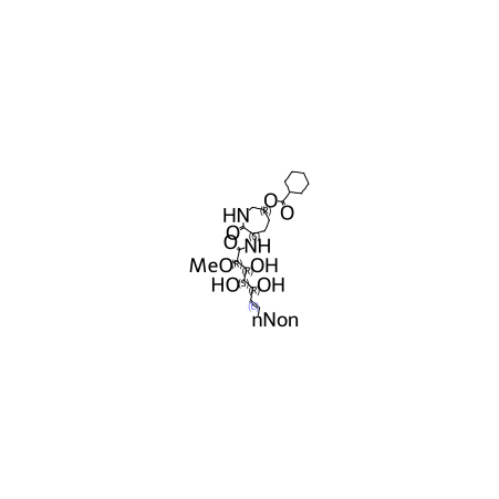 CCCCCCCCC/C=C/[C@@H](O)[C@H](O)[C@@H](O)[C@@H](OC)C(=O)N[C@H]1CC[C@@H](OC(=O)C2CCCCC2)CNC1=O